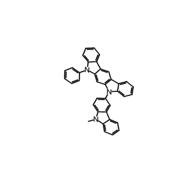 Cn1c2ccccc2c2cc(-n3c4ccccc4c4cc5c6ccccc6n(-c6ccccc6)c5cc43)ccc21